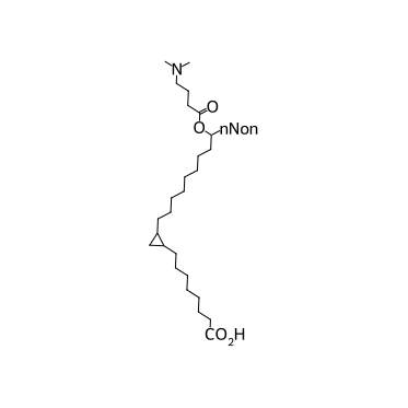 CCCCCCCCCC(CCCCCCCCC1CC1CCCCCCCC(=O)O)OC(=O)CCCN(C)C